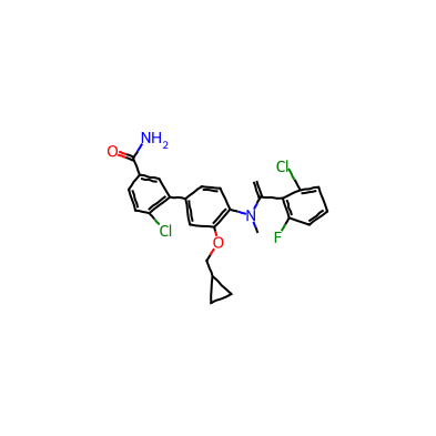 C=C(c1c(F)cccc1Cl)N(C)c1ccc(-c2cc(C(N)=O)ccc2Cl)cc1OCC1CC1